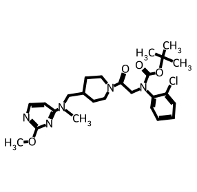 COc1nccc(N(C)CC2CCN(C(=O)CN(C(=O)OC(C)(C)C)c3ccccc3Cl)CC2)n1